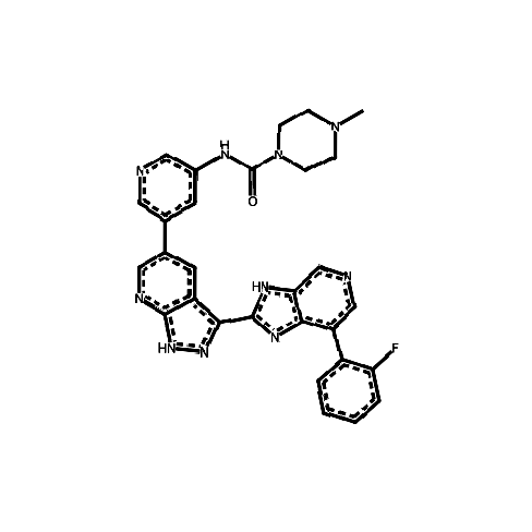 CN1CCN(C(=O)Nc2cncc(-c3cnc4[nH]nc(-c5nc6c(-c7ccccc7F)cncc6[nH]5)c4c3)c2)CC1